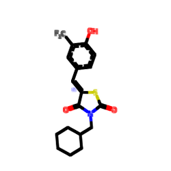 O=C1S/C(=C\c2ccc(O)c(C(F)(F)F)c2)C(=O)N1CC1CCCCC1